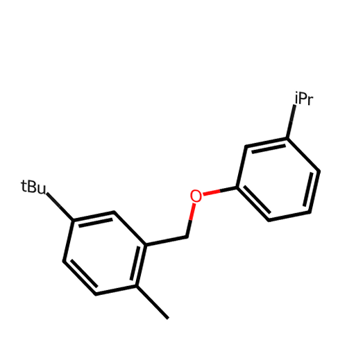 Cc1ccc(C(C)(C)C)cc1COc1cccc(C(C)C)c1